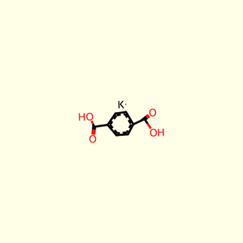 O=C(O)c1ccc(C(=O)O)cc1.[K]